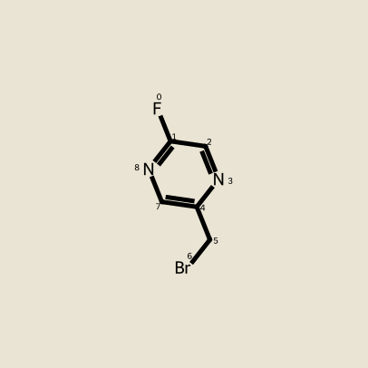 Fc1cnc(CBr)cn1